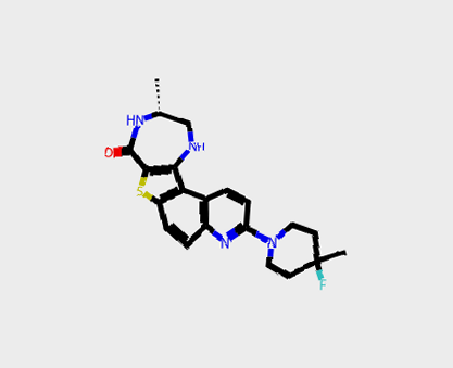 C[C@@H]1CNc2c(sc3ccc4nc(N5CCC(C)(F)CC5)ccc4c23)C(=O)N1